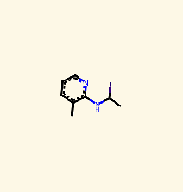 Cc1cccnc1NC(C)I